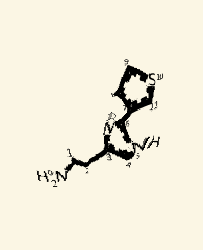 NCCc1c[nH]c(-c2ccsc2)n1